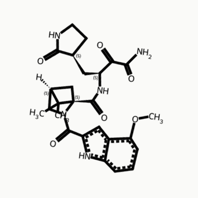 COc1cccc2[nH]c(C(=O)N3C[C@H]4C[C@@]3(C(=O)N[C@@H](C[C@@H]3CCNC3=O)C(=O)C(N)=O)C4(C)C)cc12